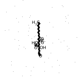 CCCCCCCCCCCC(C(O)CC(C(O)CCC=C=O)[N+](=O)[O-])[N+](=O)[O-]